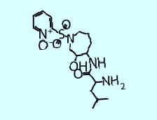 CC(C)CC(N)C(=O)NC1CCCN(S(=O)(=O)c2cccc[n+]2[O-])C[C@@H]1O